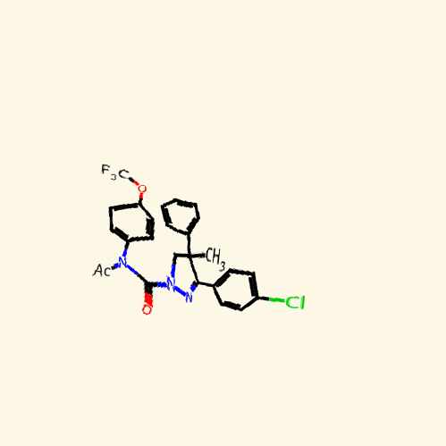 CC(=O)N(C(=O)N1CC(C)(c2ccccc2)C(c2ccc(Cl)cc2)=N1)c1ccc(OC(F)(F)F)cc1